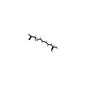 C=C(C)/C=N/CCCCCC(=C)C